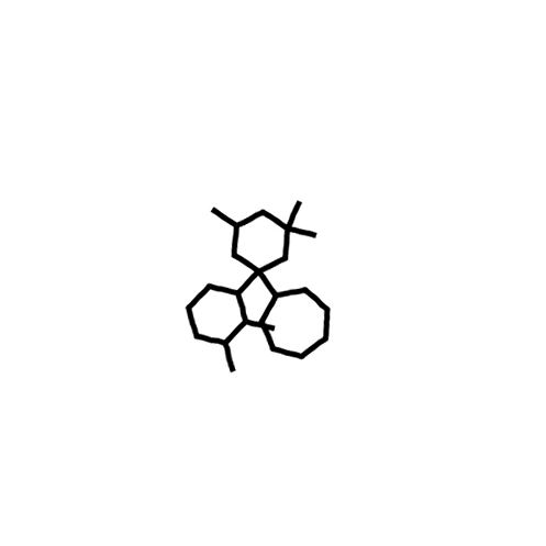 CC1CC(C)(C)CC([C]2CCCCCC2)(C2CCCC(C)C2C)C1